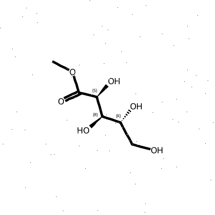 COC(=O)[C@@H](O)[C@H](O)[C@H](O)CO